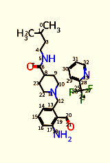 CC(C)CCNC(=O)C1CCN(Cc2cccc(N)c2C=O)CC1.FC(F)(F)c1ccccn1